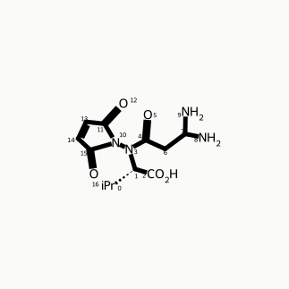 CC(C)[C@@H](C(=O)O)N(C(=O)CC(N)N)N1C(=O)C=CC1=O